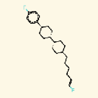 F/C=C/CCCC[C@H]1CC[C@H]([C@H]2CC[C@H](c3ccc(F)cc3)CC2)CC1